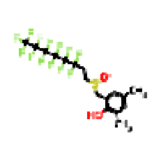 Cc1cc(C)c(O)c(C[S+]([O-])CCC(F)(F)C(F)(F)C(F)(F)C(F)(F)C(F)(F)C(F)(F)F)c1